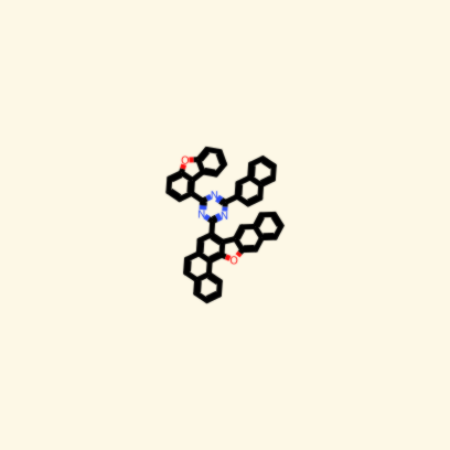 c1ccc2cc(-c3nc(-c4cccc5oc6ccccc6c45)nc(-c4cc5ccc6ccccc6c5c5oc6cc7ccccc7cc6c45)n3)ccc2c1